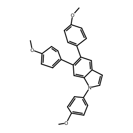 COc1ccc(-c2cc3ccn(-c4ccc(OC)cc4)c3cc2-c2ccc(OC)cc2)cc1